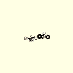 O=C1c2ccc(OCc3nnc(Br)s3)cc2CN1C1CCCC1